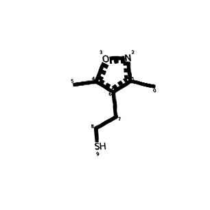 Cc1noc(C)c1CCS